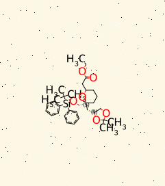 CCOC(=O)CC1CCC[C@@](CO[Si](c2ccccc2)(c2ccccc2)C(C)(C)C)(C[C@@H]2COC(C)(C)O2)O1